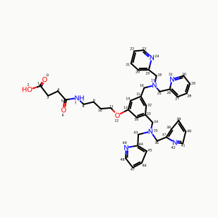 O=C(O)CCC(=O)NCCCCOc1cc(CN(Cc2ccccn2)Cc2ccccn2)cc(CN(Cc2ccccn2)Cc2ccccn2)c1